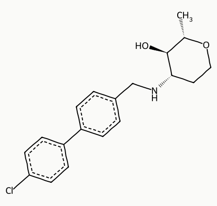 C[C@@H]1OCC[C@H](NCc2ccc(-c3ccc(Cl)cc3)cc2)[C@H]1O